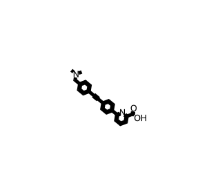 CN(C)Cc1ccc(C#Cc2ccc(-c3cccc(C(=O)O)n3)cc2)cc1